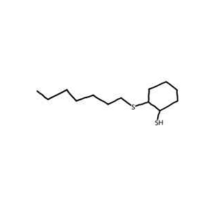 CCCCCCCSC1CCCCC1S